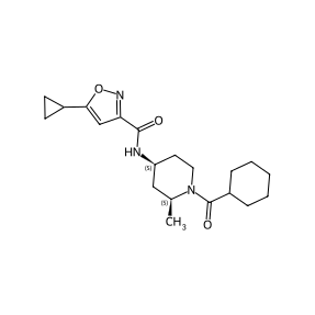 C[C@H]1C[C@@H](NC(=O)c2cc(C3CC3)on2)CCN1C(=O)C1CCCCC1